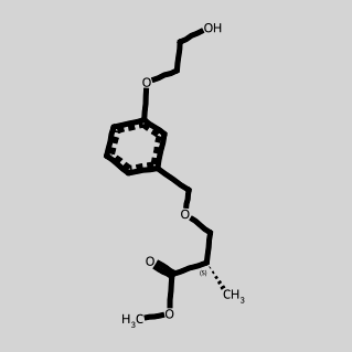 COC(=O)[C@@H](C)COCc1cccc(OCCO)c1